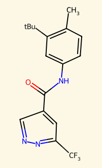 Cc1ccc(NC(=O)c2cnnc(C(F)(F)F)c2)cc1C(C)(C)C